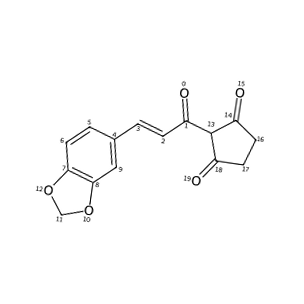 O=C(C=Cc1ccc2c(c1)OCO2)C1C(=O)CCC1=O